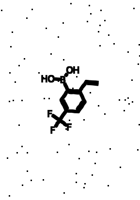 C=Cc1ccc(C(F)(F)F)cc1B(O)O